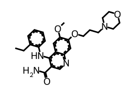 CCc1ccccc1Nc1c(C(N)=O)cnc2cc(OCCCN3CCOCC3)c(OC)cc12